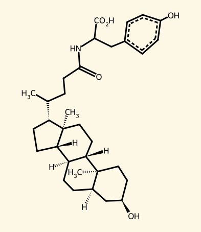 CC(CCC(=O)NC(Cc1ccc(O)cc1)C(=O)O)[C@H]1CC[C@H]2[C@@H]3CC[C@@H]4C[C@H](O)CC[C@]4(C)[C@H]3CC[C@]12C